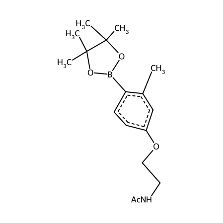 CC(=O)NCCOc1ccc(B2OC(C)(C)C(C)(C)O2)c(C)c1